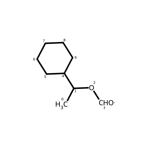 CC(O[C]=O)C1CCCCC1